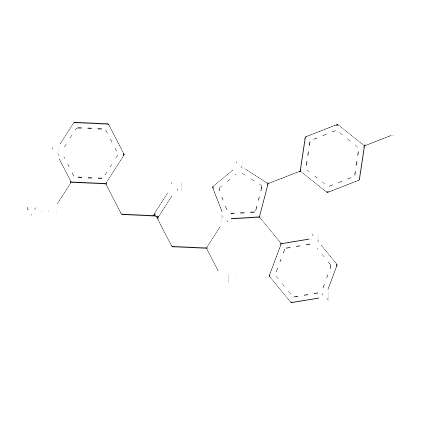 COc1ncccc1CC(=N)CC(C)n1cnc(-c2ccc(F)cc2)c1-c1ccncn1